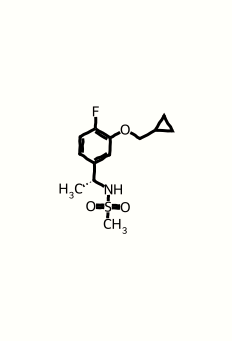 C[C@@H](NS(C)(=O)=O)c1ccc(F)c(OCC2CC2)c1